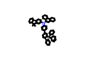 CC1(C)c2ccccc2-c2ccc(N(c3ccc(-c4ccc5c(c4)[Si](c4ccccc4)(c4ccccc4)c4ccccc4-5)cc3)c3cc4ccccc4c4ccccc34)cc21